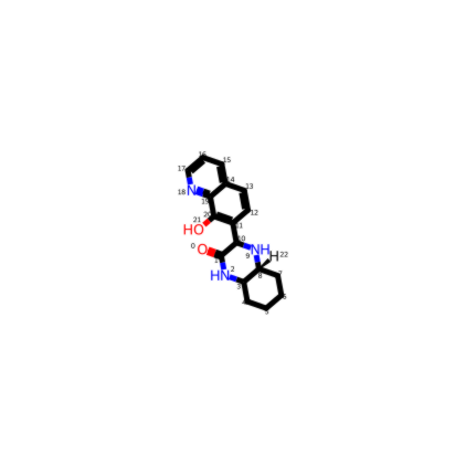 O=C1NC2CCCC[C@H]2NC1c1ccc2cccnc2c1O